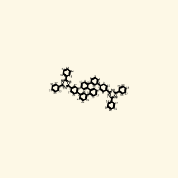 C1=CC(c2cccc(-c3ccccc3-c3ccccc3-c3cccc(-c4ccc(-c5nc(-c6ccccc6)nc(-c6ccccc6)n5)cc4)c3)c2)CC=C1c1nc(-c2ccccc2)nc(-c2ccccc2)n1